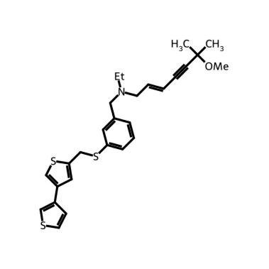 CCN(C/C=C/C#CC(C)(C)OC)Cc1cccc(SCc2cc(-c3ccsc3)cs2)c1